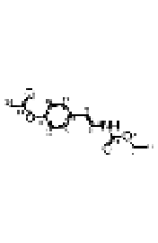 CCOC(=O)NC=Cc1ccc(OC(C)=O)cc1